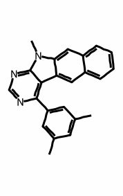 Cc1cc(C)cc(-c2ncnc3c2c2cc4ccccc4cc2n3C)c1